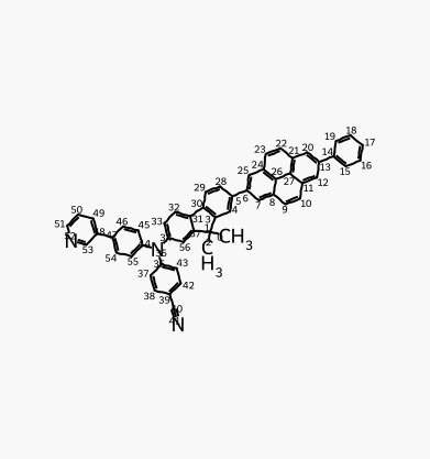 CC1(C)c2cc(-c3cc4ccc5cc(-c6ccccc6)cc6ccc(c3)c4c56)ccc2-c2ccc(N(c3ccc(C#N)cc3)c3ccc(-c4cccnc4)cc3)cc21